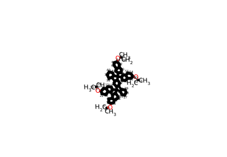 C=C(C)Oc1ccc2cc(C3(c4ccc5cc(OC(=C)C)ccc5c4)c4ccccc4-c4cc5c(cc43)-c3ccccc3C5(c3ccc4cc(OC(=C)C)ccc4c3)c3ccc4cc(OC(=C)C)ccc4c3)ccc2c1